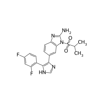 CC(C)S(=O)(=O)n1c(N)nc2ccc(-c3nc[nH]c3-c3ccc(F)cc3F)cc21